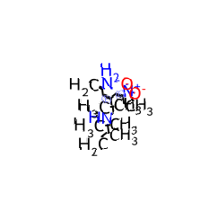 C=CC(C)C(C)(C)NCC(C)(C)C(/C=C(\CC)[N+](=O)[O-])=C/C(=C)N